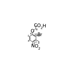 Cc1c([N+](=O)[O-])ccc(OCC(=O)O)c1Br